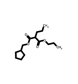 CCCOC(=O)C(CCC)C(=O)OCC1CCCC1